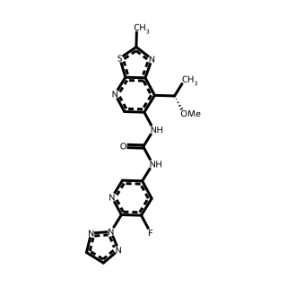 CO[C@@H](C)c1c(NC(=O)Nc2cnc(-n3nccn3)c(F)c2)cnc2sc(C)nc12